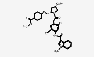 CO[C@H]1C[C@@H](COC2CCC(C(=O)ON)CC2)N(C(=O)Cc2cc(Cl)c(NC(=O)c3cn(C)c4ccccc34)cc2Cl)C1